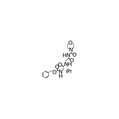 CC(C)[C@H](NC(=O)OCc1ccccc1)C(=O)NCC(=O)NC(=O)N1CCOCC1